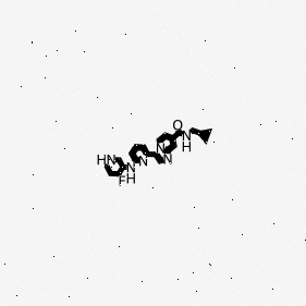 O=C(NCC1CC1)c1ccn2c(-c3cccc(NC4CNCCC4F)n3)cnc2c1